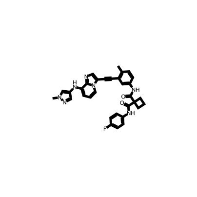 Cc1ccc(NC(=O)C2(C(=O)Nc3ccc(F)cc3)CCC2)cc1C#Cc1cnc2c(Nc3cnn(C)c3)cccn12